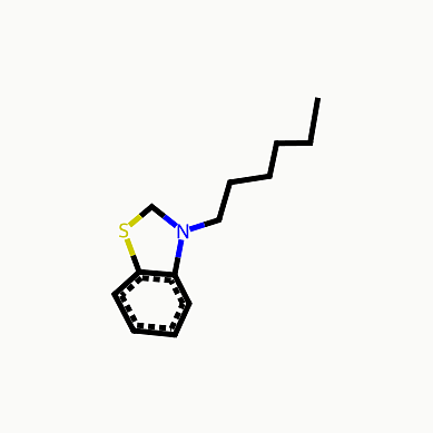 CCCCCCN1CSc2ccccc21